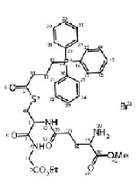 CCOC(=O)CNC(=O)C(CSC(=O)CCC[P+](c1ccccc1)(c1ccccc1)c1ccccc1)NC(=O)CCC(N)C(=O)OC.[Br-]